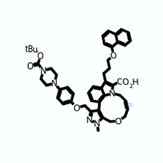 Cn1nc(COc2ccc(N3CCN(C(=O)OC(C)(C)C)CC3)cc2)c2c1COC/C=C\Cn1c(C(=O)O)c(CCCOc3cccc4ccccc34)c3cccc-2c31